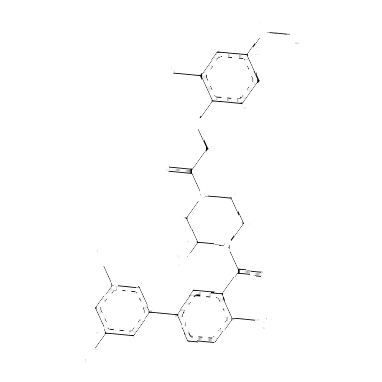 CNc1ccc(-c2cc(F)cc(C(F)(F)F)c2)cc1C(=O)N1CCN(C(=O)COc2ccc(OC(F)(F)F)cc2C)CC1C=O